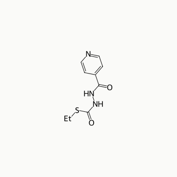 CCSC(=O)NNC(=O)c1ccncc1